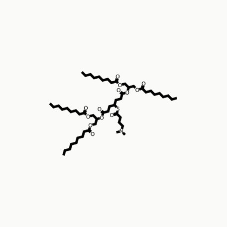 CCCCCCCCC(=O)OCC(COC(=O)CCCCCCCC)OC(=O)CCC(CCC(=O)OC(COC(=O)CCCCCCCC)COC(=O)CCCCCCCC)SC(=O)CCCN(C)C